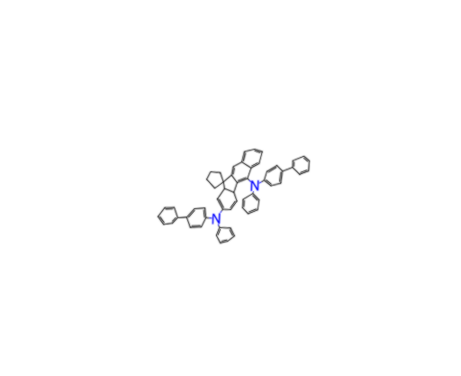 C1=CC2c3c(cc4ccccc4c3N(c3ccccc3)c3ccc(-c4ccccc4)cc3)C3(CCCC3)C2C=C1N(c1ccccc1)c1ccc(-c2ccccc2)cc1